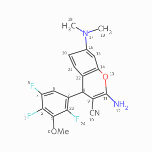 COc1c(F)c(F)cc(C2C(C#N)=C(N)Oc3cc(N(C)C)ccc32)c1F